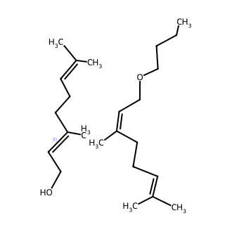 CC(C)=CCC/C(C)=C/CO.CCCCOCC=C(C)CCC=C(C)C